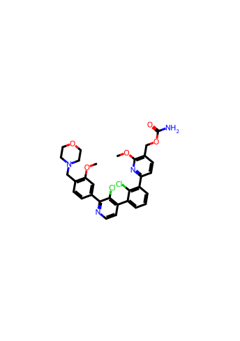 COc1cc(-c2nccc(-c3cccc(-c4ccc(COC(N)=O)c(OC)n4)c3Cl)c2Cl)ccc1CN1CCOCC1